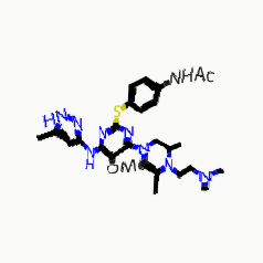 COc1c(Nc2cc(C)[nH]n2)nc(Sc2ccc(NC(C)=O)cc2)nc1N1CC(C)N(CCN(C)C)C(C)C1